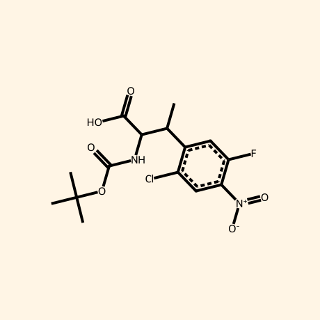 CC(c1cc(F)c([N+](=O)[O-])cc1Cl)C(NC(=O)OC(C)(C)C)C(=O)O